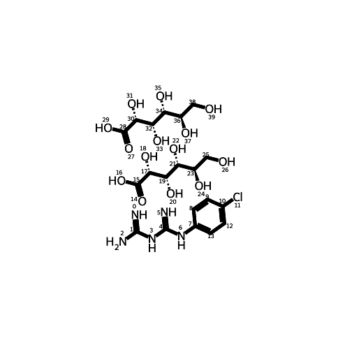 N=C(N)NC(=N)Nc1ccc(Cl)cc1.O=C(O)[C@H](O)[C@@H](O)[C@H](O)[C@H](O)CO.O=C(O)[C@H](O)[C@@H](O)[C@H](O)[C@H](O)CO